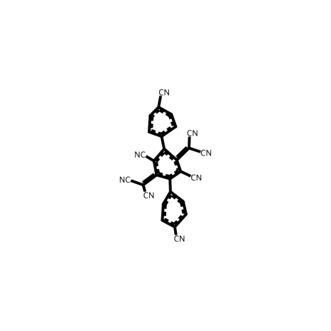 N#CC(C#N)=c1c(C#N)c(-c2ccc(C#N)cc2)c(=C(C#N)C#N)c(C#N)c1-c1ccc(C#N)cc1